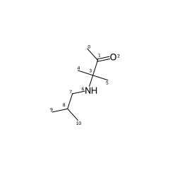 CC(=O)C(C)(C)NCC(C)C